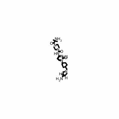 CC(C)(N)C(=O)N1CCN(C(=O)Nc2ccn(C3=CCC(CN4C[C@@H]5C(N)[C@@H]5C4)CC3)c(=O)n2)CC1.Cl